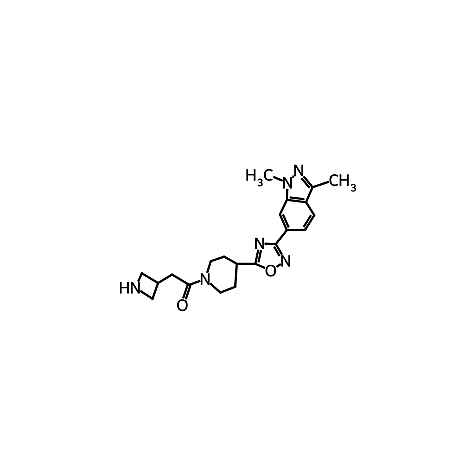 Cc1nn(C)c2cc(-c3noc(C4CCN(C(=O)CC5CNC5)CC4)n3)ccc12